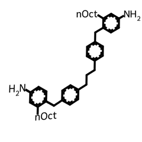 CCCCCCCCc1cc(N)ccc1Cc1ccc(CCCc2ccc(Cc3ccc(N)cc3CCCCCCCC)cc2)cc1